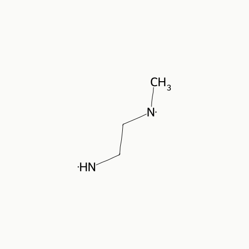 C[N]CC[NH]